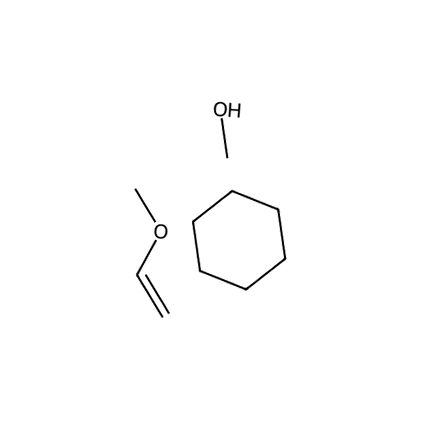 C1CCCCC1.C=COC.CO